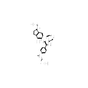 CN(CCO)c1ccc(-c2nc3cnccn3c2Nc2ccc3c(c2)CC/C3=N\O)cc1